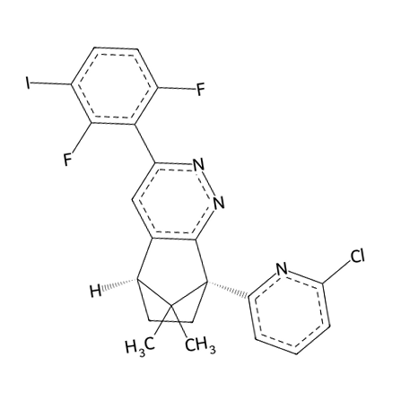 CC1(C)[C@H]2CC[C@]1(c1cccc(Cl)n1)c1nnc(-c3c(F)ccc(I)c3F)cc12